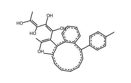 C\C(O)=C(O)/C(O)=C(O)\C(=C(/C)O)c1c(C)cccccc(-c2ccc(C)cc2)c2ccccc12